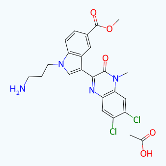 CC(=O)O.COC(=O)c1ccc2c(c1)c(-c1nc3cc(Cl)c(Cl)cc3n(C)c1=O)cn2CCCN